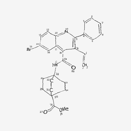 C=Cc1c(-c2ccccc2)nc2ccc(Br)cc2c1C(=O)NC12CCC(C(=O)OC)(CC1)CC2